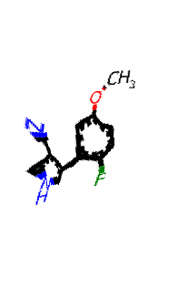 COc1ccc(F)c(-c2c[nH]cc2C#N)c1